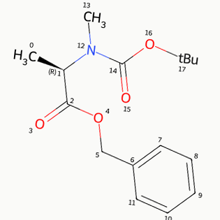 C[C@H](C(=O)OCc1ccccc1)N(C)C(=O)OC(C)(C)C